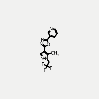 Cc1c(-c2nnc(-c3cccnc3)o2)cnn1CC(F)(F)F